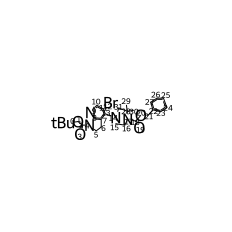 CC(C)(C)OC(=O)N1CCc2c1ncc(Br)c2N1CCN(C(=O)OCc2ccccc2)C(C)(C)C1